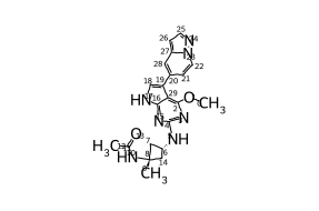 COc1nc(N[C@H]2C[C@@](C)(NC(C)=O)C2)nc2[nH]cc(-c3ccn4nccc4c3)c12